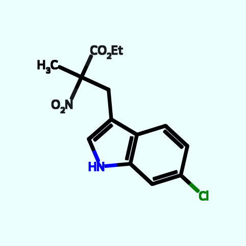 CCOC(=O)C(C)(Cc1c[nH]c2cc(Cl)ccc12)[N+](=O)[O-]